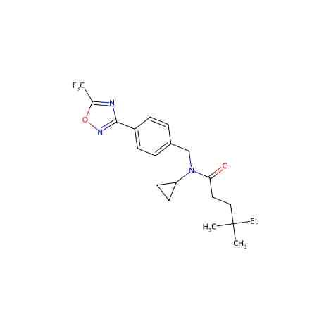 CCC(C)(C)CCC(=O)N(Cc1ccc(-c2noc(C(F)(F)F)n2)cc1)C1CC1